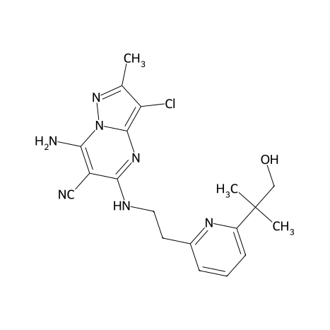 Cc1nn2c(N)c(C#N)c(NCCc3cccc(C(C)(C)CO)n3)nc2c1Cl